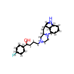 OC(CCCN1CCN2c3cccc4[nH]cc(c34)CC2C1)c1ccc(F)cc1